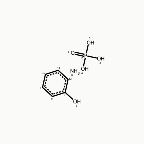 N.O=P(O)(O)O.Oc1ccccc1